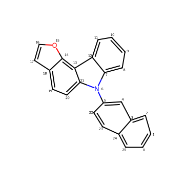 c1ccc2cc(-n3c4ccccc4c4c5occc5ccc43)ccc2c1